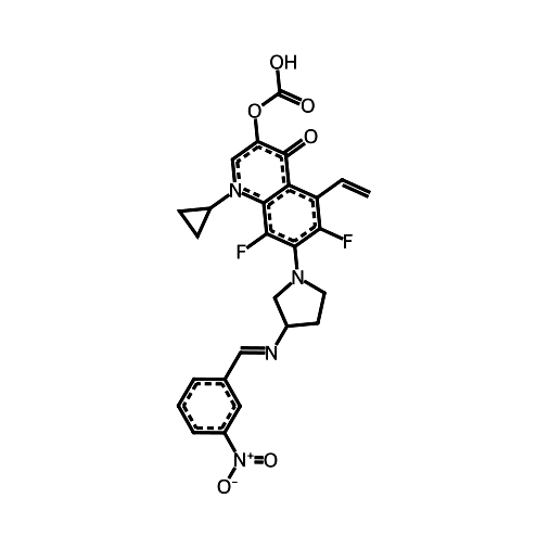 C=Cc1c(F)c(N2CCC(N=Cc3cccc([N+](=O)[O-])c3)C2)c(F)c2c1c(=O)c(OC(=O)O)cn2C1CC1